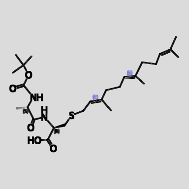 CC(C)=CCC/C(C)=C/CC/C(C)=C/CSC[C@H](NC(=O)[C@H](C)NC(=O)OC(C)(C)C)C(=O)O